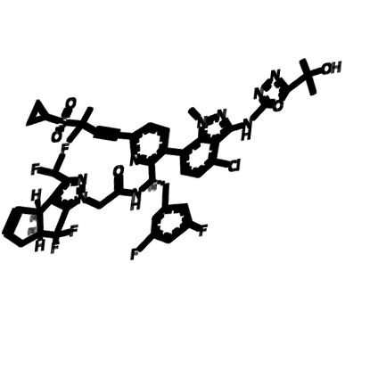 Cn1nc(Nc2nnc(C(C)(C)O)o2)c2c(Cl)ccc(-c3ccc(C#CC(C)(C)S(=O)(=O)C4CC4)nc3[C@H](Cc3cc(F)cc(F)c3)NC(=O)Cn3nc(C(F)F)c4c3C(F)(F)[C@@H]3CC#C[C@H]43)c21